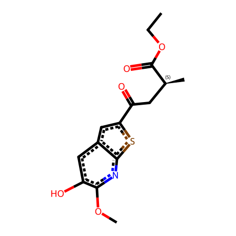 CCOC(=O)[C@@H](C)CC(=O)c1cc2cc(O)c(OC)nc2s1